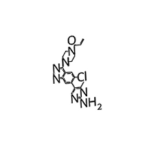 C=CC(=O)N1CCN(c2ncnc3cc(-c4cnc(N)nc4C)c(Cl)cc23)CC1